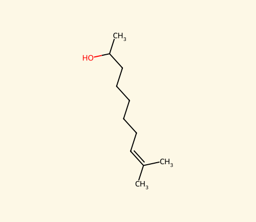 CC(C)=CCCCCCC(C)O